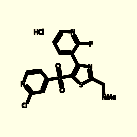 CNCc1nc(-c2cccnc2F)c(S(=O)(=O)c2ccnc(Cl)c2)s1.Cl